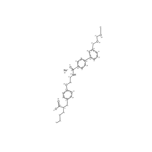 CCCCC(Cc1ccc(OCCNC(=O)c2ccc(-c3cccc(COCOC)c3)cc2)cc1)C(=O)[O-].[Na+]